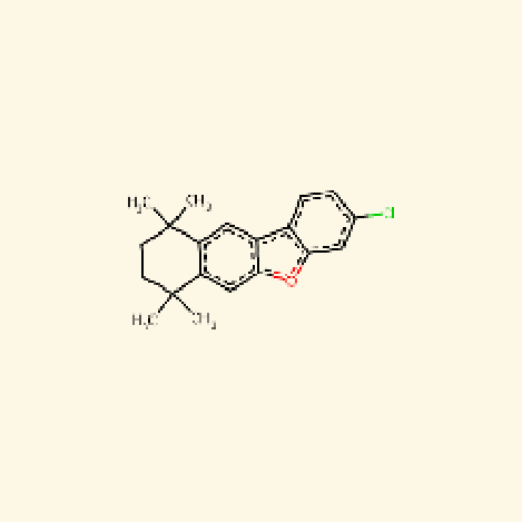 CC1(C)CCC(C)(C)c2cc3c(cc21)oc1cc(Cl)ccc13